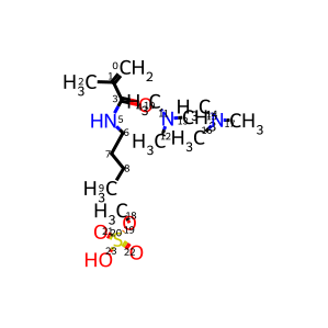 C=C(C)C(=O)NCCCC.CN(C)C.CN(C)C.COS(=O)(=O)O